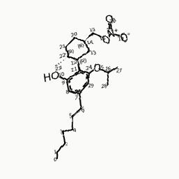 CCCCCCCc1cc(O)c([C@@H]2C[C@H](CO[N+](=O)[O-])CC[C@H]2C)c(OC(C)C)c1